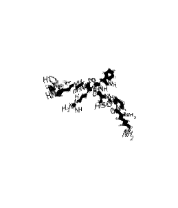 N=C(N)NCCC[C@H](NC(=O)[C@H](Cc1c[nH]c2ccccc12)NC(=O)[C@H](CS)NC(=O)[C@@H]1CCCN1C(=O)[C@@H](N)CCCCN)C(=O)NCC(=O)N[C@@H](Cc1c[nH]cn1)C(=O)O